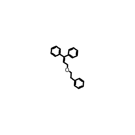 C(COCCc1ccccc1)=C(c1ccccc1)c1ccccc1